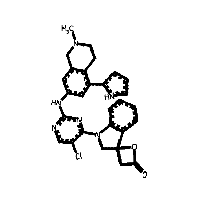 CN1CCc2c(cc(Nc3ncc(Cl)c(N4CC5(CC(=O)O5)c5ccccc54)n3)cc2-c2ccc[nH]2)C1